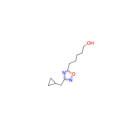 OCCCCCc1nc(CC2CC2)no1